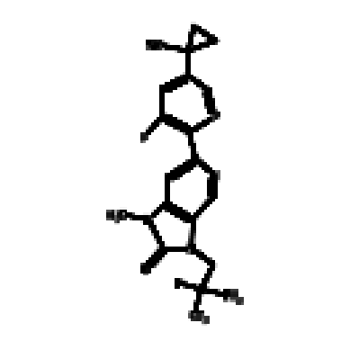 Cn1c(=O)n(CC(F)(P)C(F)(F)F)c2cnc(-c3pcc(C4(C#N)CC4)cc3F)cc21